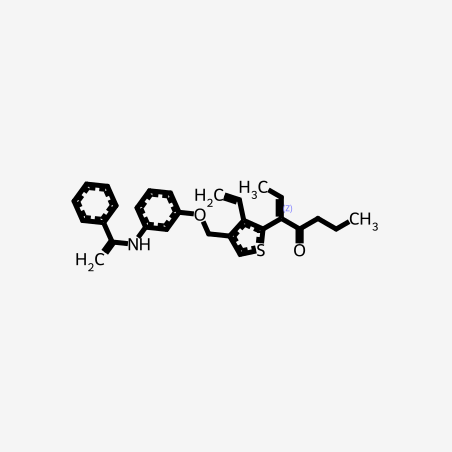 C=Cc1c(COc2cccc(NC(=C)c3ccccc3)c2)csc1/C(=C\C)C(=O)CCC